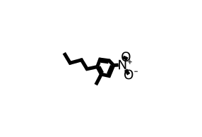 CCCCc1ccc([N+](=O)[O-])cc1C